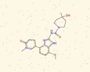 COc1ccc(-c2ccc(=O)n(C)c2)c2nc(NC(=O)N3CCC(C)(O)CC3)[nH]c12